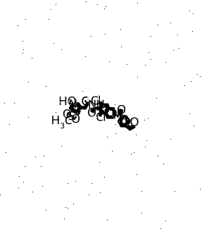 CS(=O)(=O)c1cncc(C[C@H](NC(=O)c2c(Cl)cc3c(c2Cl)CCN(C(=O)c2ccc4ccoc4c2)C3)C(=O)O)c1